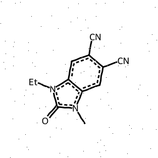 CCn1c(=O)n(C)c2cc(C#N)c(C#N)cc21